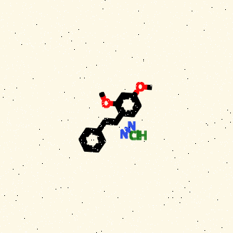 COc1ccc(C=Cc2ccccc2)c(OC)c1.Cl.N#N